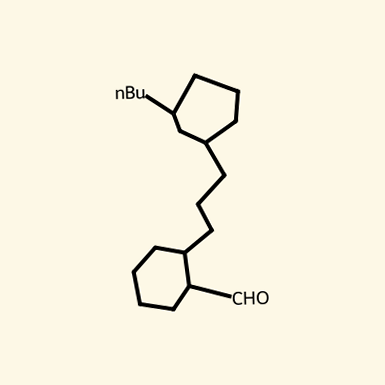 CCCCC1CCCC(CCCC2CCCCC2C=O)C1